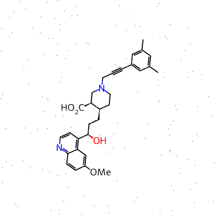 COc1ccc2nccc([C@H](O)CC[C@@H]3CCN(CC#Cc4cc(C)cc(C)c4)C[C@@H]3C(=O)O)c2c1